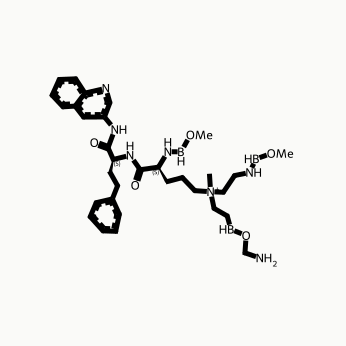 COBNCC[N+](C)(CCBOCN)CCC[C@H](NBOC)C(=O)N[C@@H](CCc1ccccc1)C(=O)Nc1cnc2ccccc2c1